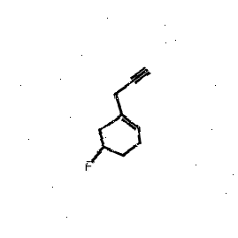 C#CCC1=CCCC(F)C1